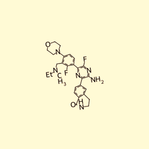 CCN(C)Cc1c(N2CCOCC2)ccc(-c2nc(-c3ccc4c(c3)CCNC4=O)c(N)nc2F)c1F